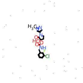 Cn1cc(N2CC[C@](O)(OC(=O)NCc3cccc(Cl)c3F)C2=O)cn1